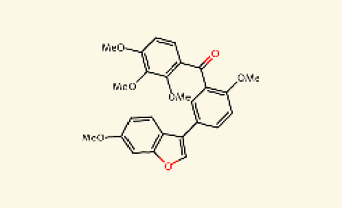 COc1ccc2c(-c3ccc(OC)c(C(=O)c4ccc(OC)c(OC)c4OC)c3)coc2c1